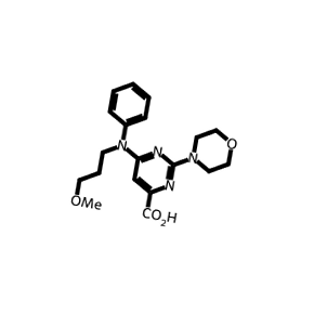 COCCCN(c1ccccc1)c1cc(C(=O)O)nc(N2CCOCC2)n1